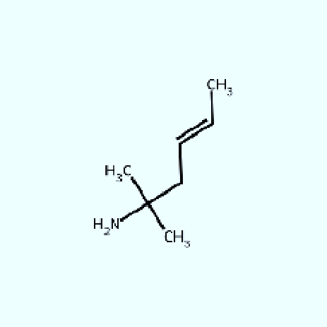 CC=CCC(C)(C)N